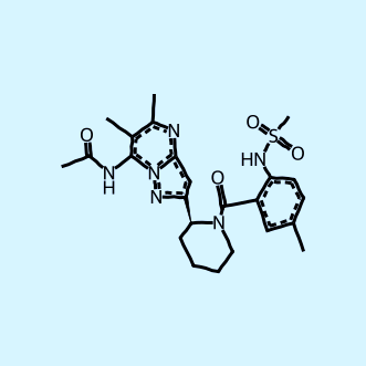 CC(=O)Nc1c(C)c(C)nc2cc([C@@H]3CCCCN3C(=O)c3cc(C)ccc3NS(C)(=O)=O)nn12